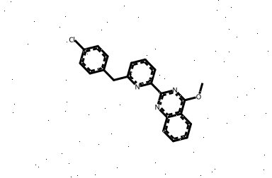 COc1nc(-c2cccc(Cc3ccc(Cl)cc3)n2)nc2ccccc12